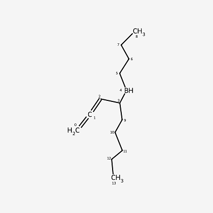 C=C=CC(BCCCC)CCCCC